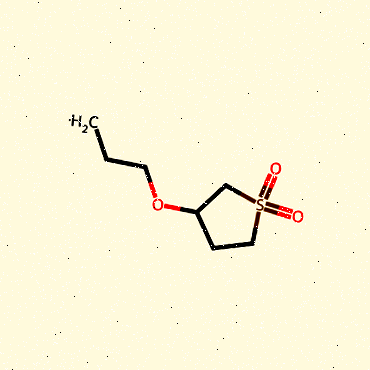 [CH2]CCOC1CCS(=O)(=O)C1